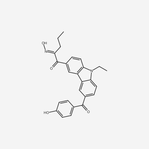 CCC/C(=N\O)C(=O)c1ccc2c(c1)c1cc(C(=O)c3ccc(O)cc3)ccc1n2CC